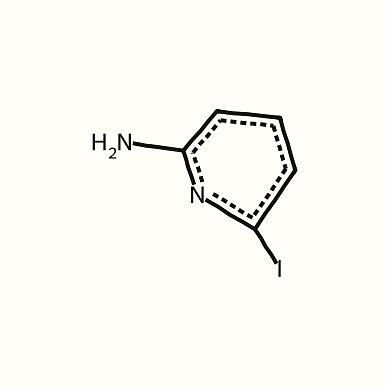 Nc1cccc(I)n1